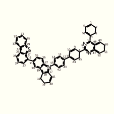 C1=CCCC(c2nc(C3C=CC(c4ccc(-n5c6c(c7cc(-c8cccc9c8sc8ccccc89)ccc75)CCC=C6)cc4)=CC3)nc3c2=CCCC=3)=C1